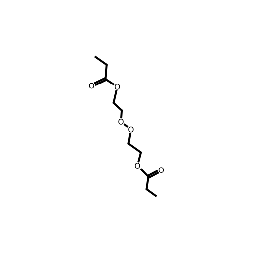 CCC(=O)OCCOOCCOC(=O)CC